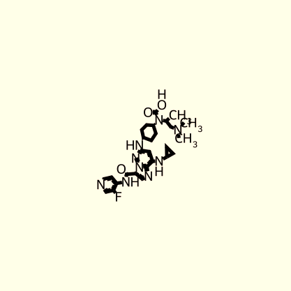 CC(CN(C)C)N(C(=O)O)[C@H]1CC[C@H](Nc2cc(NC3CC3)c3ncc(C(=O)Nc4ccncc4F)n3n2)CC1